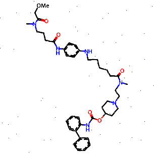 COCC(=O)N(C)CCCC(=O)Nc1ccc(NCCCCCC(=O)N(C)CCN2CCC(OC(=O)Nc3ccccc3-c3ccccc3)CC2)cc1